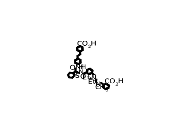 CCC(CC)N(CCN(C)Cc1ccccc1C(=O)O)Cc1cccc(C(=O)Nc2sc3c(c2C(=O)Nc2ccc(CCc4ccc(C(=O)O)cc4)cc2)CCCC3)c1